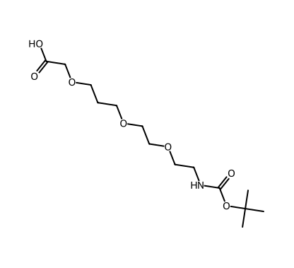 CC(C)(C)OC(=O)NCCOCCOCCCOCC(=O)O